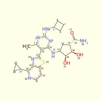 Cc1nc(NC2CCC2)nc(NC2C[C@H](C(N)=O)[C@@H](O)[C@H]2O)c1-c1nc2c(C3CC3)nccc2s1